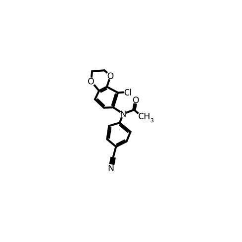 CC(=O)N(c1ccc(C#N)cc1)c1ccc2c(c1Cl)OCCO2